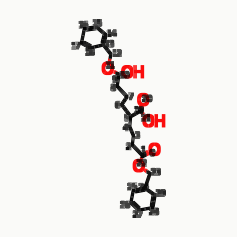 O=C(CCCC(CCCC(O)OCc1ccccc1)C(=O)O)OCc1ccccc1